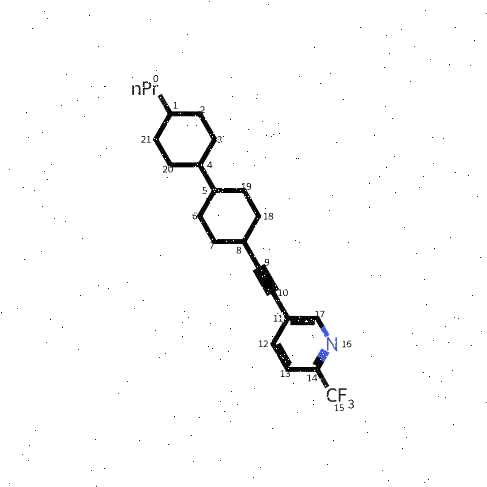 CCCC1CCC(C2CCC(C#Cc3ccc(C(F)(F)F)nc3)CC2)CC1